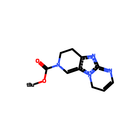 CC(C)(C)OC(=O)N1C=c2c(nc3n2CC=CN=3)CC1